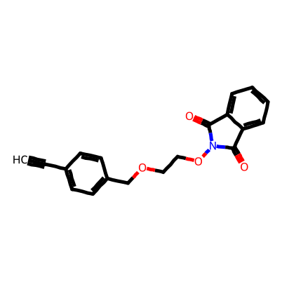 C#Cc1ccc(COCCON2C(=O)c3ccccc3C2=O)cc1